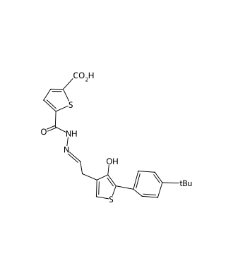 CC(C)(C)c1ccc(-c2scc(CC=NNC(=O)c3ccc(C(=O)O)s3)c2O)cc1